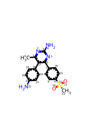 Cc1nc(N)nc(-c2ccc(S(C)(=O)=O)cc2)c1-c1ccc(N)cc1